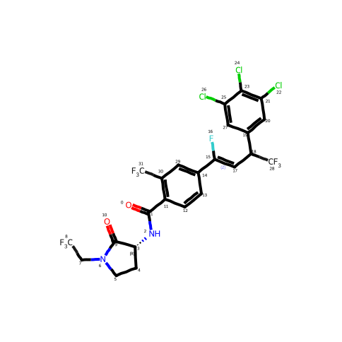 O=C(N[C@@H]1CCN(CC(F)(F)F)C1=O)c1ccc(/C(F)=C/C(c2cc(Cl)c(Cl)c(Cl)c2)C(F)(F)F)cc1C(F)(F)F